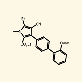 CCOC(=O)c1c(-c2ccc(-c3ccccc3OC)cc2)c(C#N)c(CC)n1C